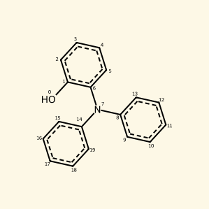 Oc1ccccc1N(c1ccccc1)c1ccccc1